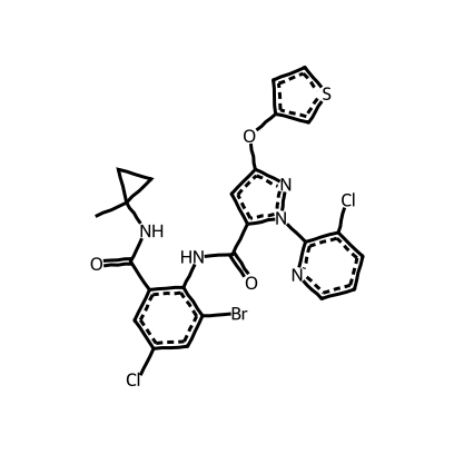 CC1(NC(=O)c2cc(Cl)cc(Br)c2NC(=O)c2cc(Oc3ccsc3)nn2-c2ncccc2Cl)CC1